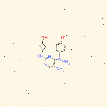 COc1ccc(N(N)c2nc(NC3CC(O)C3)ncc2N)cc1